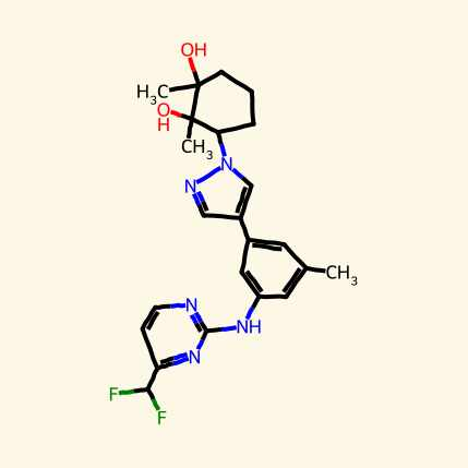 Cc1cc(Nc2nccc(C(F)F)n2)cc(-c2cnn(C3CCCC(C)(O)C3(C)O)c2)c1